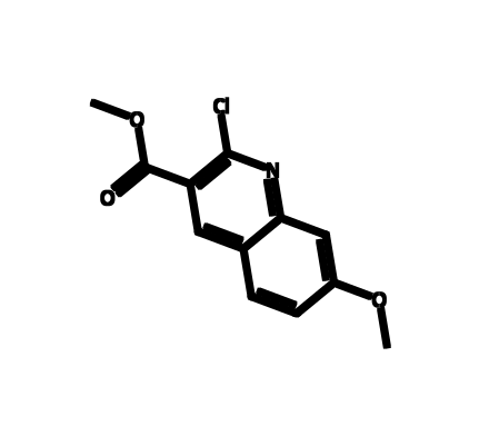 COC(=O)c1cc2ccc(OC)cc2nc1Cl